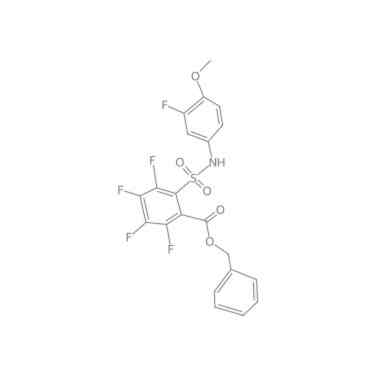 COc1ccc(NS(=O)(=O)c2c(F)c(F)c(F)c(F)c2C(=O)OCc2ccccc2)cc1F